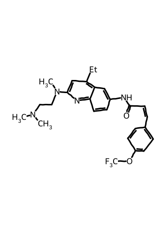 CCc1cc(N(C)CCN(C)C)nc2ccc(NC(=O)/C=C\c3ccc(OC(F)(F)F)cc3)cc12